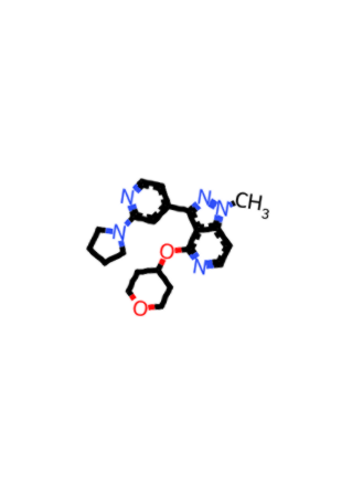 Cn1nc(-c2ccnc(N3CCCC3)c2)c2c(OC3CCOCC3)nccc21